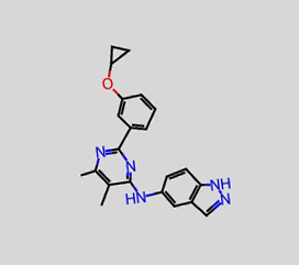 Cc1nc(-c2cccc(OC3CC3)c2)nc(Nc2ccc3[nH]ncc3c2)c1C